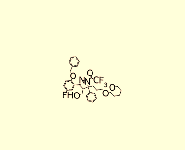 O=C(N1N=C(c2cc(F)ccc2OCc2ccccc2)C(CO)C1(CCCOC1CCCCO1)c1ccccc1)C(F)(F)F